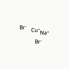 [Br-].[Br-].[Cu+].[Na+]